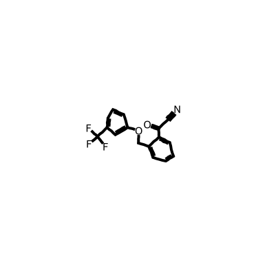 N#CC(=O)c1ccccc1COc1cccc(C(F)(F)F)c1